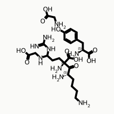 N=C(N)NC(CC[C@](N)(C(=O)O)C(=O)[C@@H](N)CCCCN)NCC(=O)O.NCC(=O)O.N[C@@H](Cc1ccc(O)cc1)C(=O)O